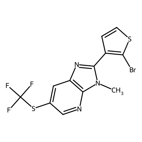 Cn1c(-c2ccsc2Br)nc2cc(SC(F)(F)F)cnc21